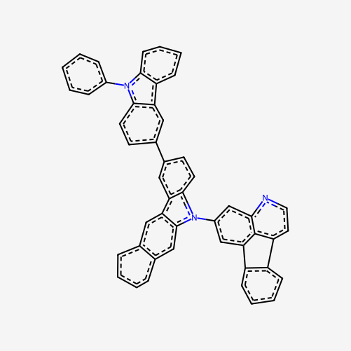 c1ccc(-n2c3ccccc3c3cc(-c4ccc5c(c4)c4cc6ccccc6cc4n5-c4cc5c6c(ccnc6c4)-c4ccccc4-5)ccc32)cc1